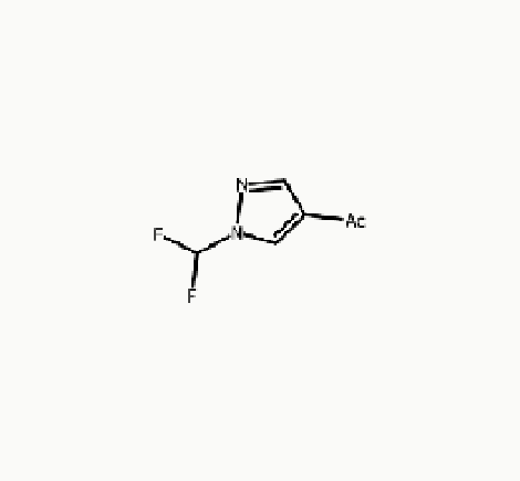 CC(=O)c1cnn(C(F)F)c1